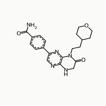 NC(=O)c1ccc(-c2cnc3c(n2)N(CCC2CCOCC2)C(=O)CN3)cc1